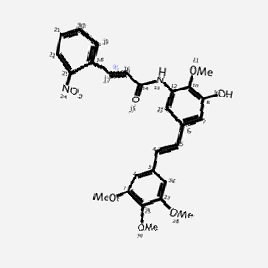 COc1cc(C=Cc2cc(O)c(OC)c(NC(=O)/C=C/c3ccccc3[N+](=O)[O-])c2)cc(OC)c1OC